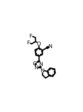 N#Cc1cc(-c2nc(N3CCc4ccccc43)no2)ccc1OC(CF)CF